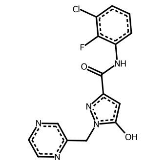 O=C(Nc1cccc(Cl)c1F)c1cc(O)n(Cc2cnccn2)n1